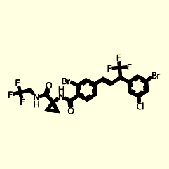 O=C(NC1(C(=O)NCC(F)(F)F)CC1)c1ccc(/C=C/C(c2cc(Cl)cc(Br)c2)C(F)(F)F)cc1Br